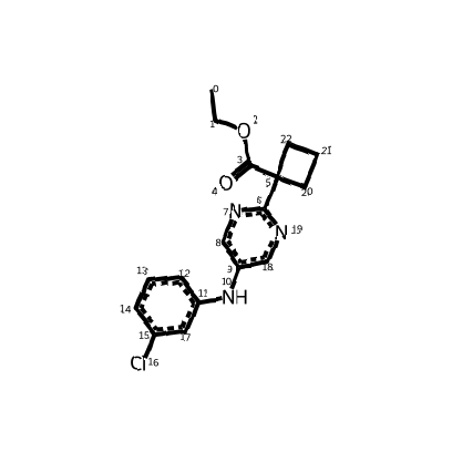 CCOC(=O)C1(c2ncc(Nc3cccc(Cl)c3)cn2)CCC1